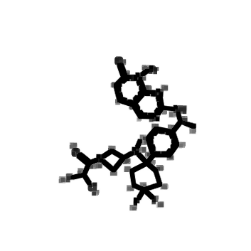 CC(C)n1c(=O)ccc2cnc(N[C@@H](C)c3ccc(C4(N(C)C5CN(C(=O)C(F)Cl)C5)CCC(F)(F)CC4)cc3)nc21